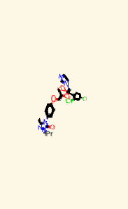 Cc1nn(C(C)C)c(=O)n1-c1ccc(OCC2COC(Cn3ccnc3)(c3ccc(Cl)cc3Cl)O2)cc1